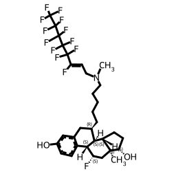 CN(CC=C(F)C(F)(F)C(F)(F)C(F)(F)C(F)(F)C(F)(F)F)CCCCC[C@@H]1Cc2cc(O)ccc2[C@@H]2[C@@H]1[C@@H]1CC[C@H](O)[C@@]1(C)C[C@@H]2F